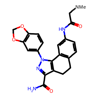 CNCC(=O)Nc1ccc2c(c1)-c1c(c(C(N)=O)nn1-c1ccc3c(c1)OCO3)CC2